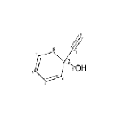 C#CC1(O)C=CC=CC1